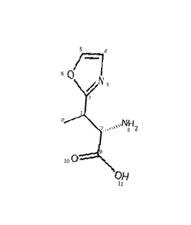 CC(c1ncco1)[C@H](N)C(=O)O